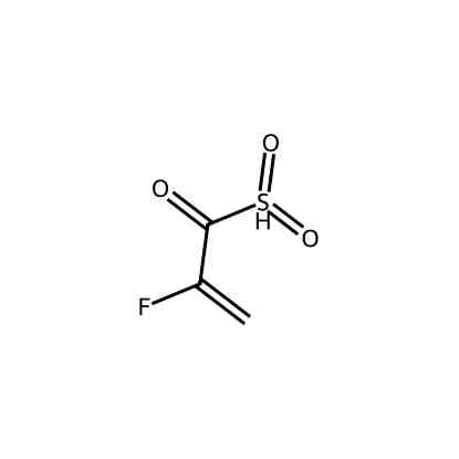 C=C(F)C(=O)[SH](=O)=O